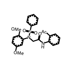 COc1ccc(OC)c(N(CC(=O)Nc2ccccc2C(C)=O)S(=O)(=O)c2ccccc2)c1